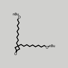 CCCCOCCCCCCCCCC1(CCCCCCCCCOCCCC)CC(=O)C1